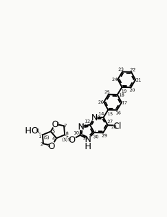 O[C@H]1COC2C1OC[C@@H]2Oc1nc2nc(-c3ccc(-c4ccccc4)cc3)c(Cl)cc2[nH]1